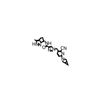 Cc1[nH]nc2c1CC[C@H]2NC(=O)c1cn(Cc2ccc(N3CC4CC4C3)nc2C#N)cn1